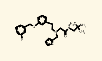 CC(C)(N)CNC(=O)CN(CCc1cccc(OCc2cccc(F)c2)c1)Cc1ccco1